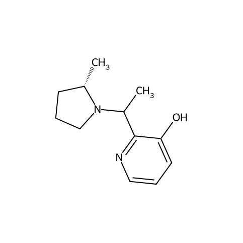 CC(c1ncccc1O)N1CCC[C@@H]1C